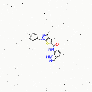 Cc1ccc(Cn2nc(C)c3cc(C(=O)Nc4cccc5cn[nH]c45)sc32)cc1